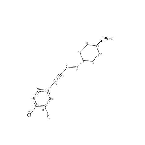 CCCCC[C@H]1CC[C@H](C=CC#Cc2ccc(Cl)c(F)c2)CC1